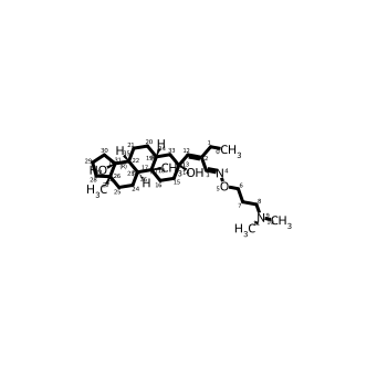 CCC(C=NOCCCN(C)C)=C[C@]1(O)CC[C@@]2(C)[C@H](CC[C@@H]3[C@@H]2CC[C@]2(C)CCC[C@]32O)C1